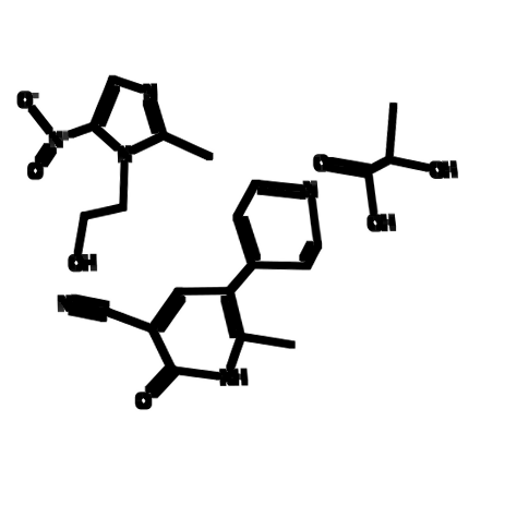 CC(O)C(=O)O.Cc1[nH]c(=O)c(C#N)cc1-c1ccncc1.Cc1ncc([N+](=O)[O-])n1CCO